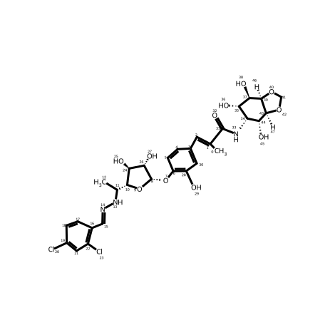 C/C(=C\c1ccc(O[C@@H]2O[C@H](C(C)NN=Cc3ccc(Cl)cc3Cl)[C@@H](O)[C@@H]2O)c(O)c1)C(=O)N[C@@H]1[C@H](O)[C@@H](O)[C@H]2OCO[C@H]2[C@@H]1O